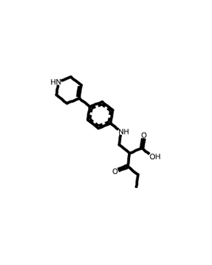 CCC(=O)C(CNc1ccc(C2=CCNCC2)cc1)C(=O)O